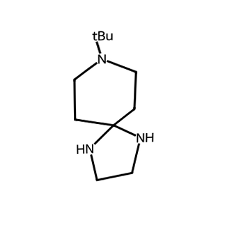 CC(C)(C)N1CCC2(CC1)NCCN2